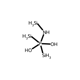 OP(O)([SiH3])([SiH3])N[SiH3]